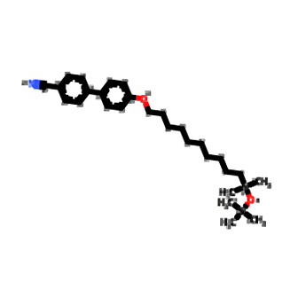 C[Si](C)(C)O[Si](C)(C)CCCCCCCCCCOc1ccc(-c2ccc(C#N)cc2)cc1